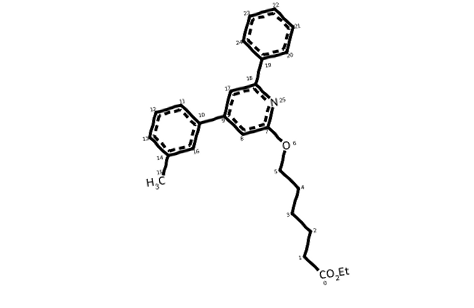 CCOC(=O)CCCCCOc1cc(-c2cccc(C)c2)cc(-c2ccccc2)n1